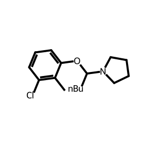 CCCCC(Oc1cccc(Cl)c1C)N1CCCC1